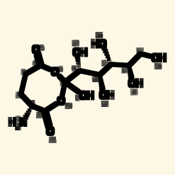 N[C@@H]1CCC(=O)OC(O)([C@H](O)[C@H](O)[C@H](O)[C@H](O)CO)OC1=O